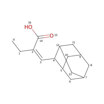 CCC(=CC1C2CC3CC(C2)CC1C3)C(=O)O